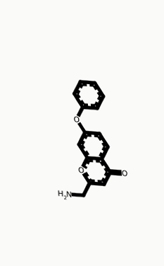 NCc1cc(=O)c2ccc(Oc3ccccc3)cc2o1